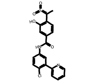 CC(c1ccc(C(=O)Nc2ccc(Cl)c(-c3ccccn3)c2)cc1O)=S(=O)=O